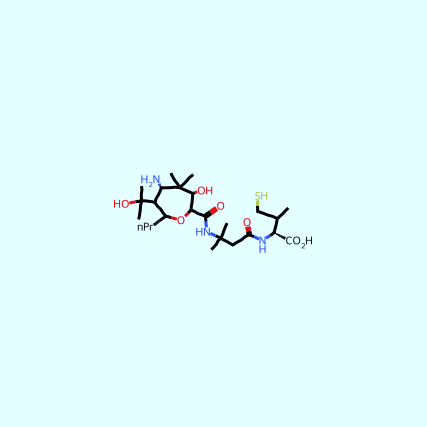 CCCC1OC(C(=O)NC(C)(C)CC(=O)N[C@H](C(=O)O)C(C)CS)C(O)C(C)(C)[C@H](N)C1C(C)(C)O